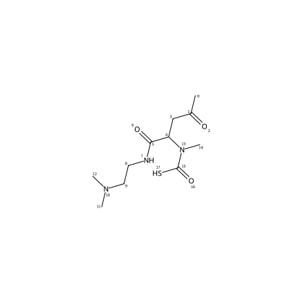 CC(=O)CC(C(=O)NCCN(C)C)N(C)C(=O)S